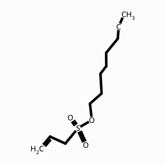 C=CCS(=O)(=O)OCCCCCCCC